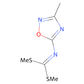 CSC(=Nc1nc(C)no1)SC